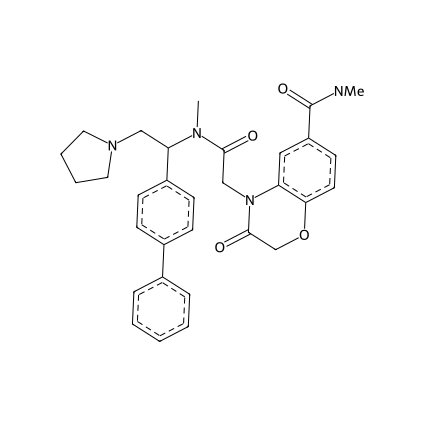 CNC(=O)c1ccc2c(c1)N(CC(=O)N(C)C(CN1CCCC1)c1ccc(-c3ccccc3)cc1)C(=O)CO2